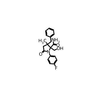 CC1(Cc2ccccc2)CC(=O)N(c2ccc(F)cc2)C1(CO)C(N)=O